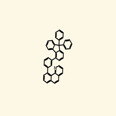 c1ccc(C2(c3ccccc3)c3ccccc3-c3c(-c4cccc(-c5cccc6ccc7cccnc7c56)c4)cccc32)cc1